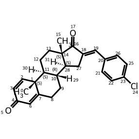 C[C@]12C=CC(=O)C=C1CC[C@@H]1[C@@H]2CC[C@]2(C)C(=O)C(=Cc3ccc(Cl)cc3)C[C@@H]12